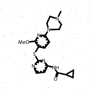 COc1nc(N2CCN(C)CC2)ccc1Sc1nccc(NC(=O)C2CC2)n1